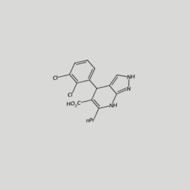 CCCC1=C(C(=O)O)C(c2cccc(Cl)c2Cl)c2c[nH]nc2N1